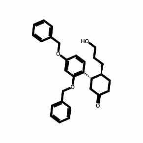 O=C1CC[C@H](CCCO)[C@@H](c2ccc(OCc3ccccc3)cc2OCc2ccccc2)C1